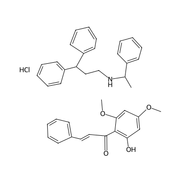 CC(NCCC(c1ccccc1)c1ccccc1)c1ccccc1.COc1cc(O)c(C(=O)C=Cc2ccccc2)c(OC)c1.Cl